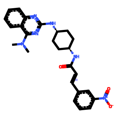 CN(C)c1nc(N[C@H]2CC[C@@H](NC(=O)/C=C/c3cccc([N+](=O)[O-])c3)CC2)nc2ccccc12